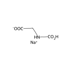 O=C([O-])CNC(=O)O.[Na+]